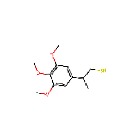 COc1cc(C(C)CS)cc(OC)c1OC